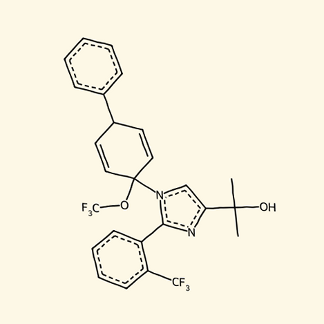 CC(C)(O)c1cn(C2(OC(F)(F)F)C=CC(c3ccccc3)C=C2)c(-c2ccccc2C(F)(F)F)n1